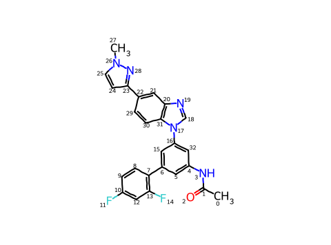 CC(=O)Nc1cc(-c2ccc(F)cc2F)cc(-n2cnc3cc(-c4ccn(C)n4)ccc32)c1